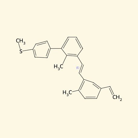 C=Cc1ccc(C)c(/C=C/c2cccc(-c3ccc(SC)cc3)c2C)c1